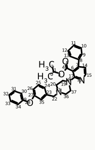 CC(C)OC(=O)c1c(-c2ccccc2)ccnc1N1CCN(Cc2cccc(Oc3ccccc3)c2)CC1